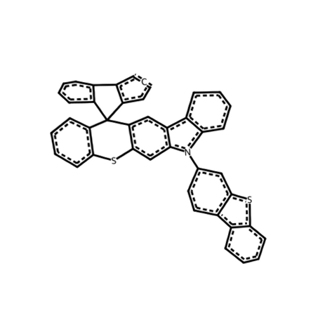 c1ccc2c(c1)Sc1cc3c(cc1C21c2ccccc2-c2ccccc21)c1ccccc1n3-c1ccc2c(c1)sc1ccccc12